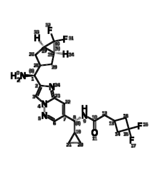 N[C@H](c1cn2ncc([C@H](NC(=O)CC3CC(F)(F)C3)C3CC3)cc2n1)C1C[C@@H]2[C@H](C1)C2(F)F